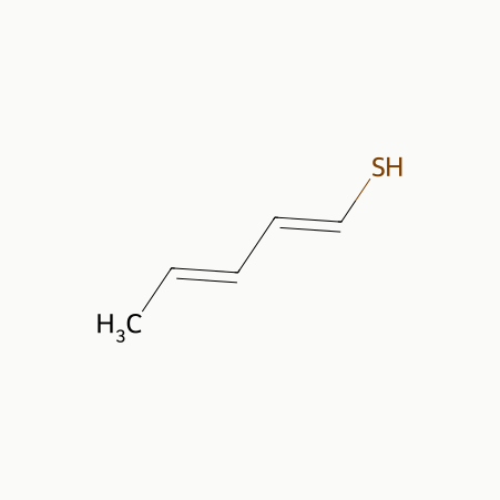 CC=CC=CS